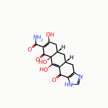 NC(=O)C1=C(O)C[C@@H]2C[C@@H]3Cc4nc[nH]c4C(=O)C3=C(O)[C@]2(O)C1=O